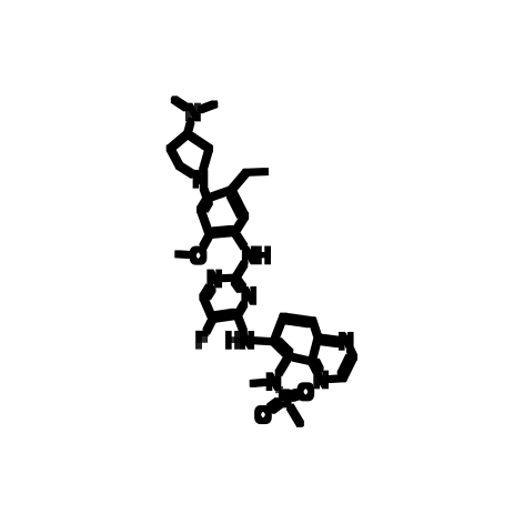 CCc1cc(Nc2ncc(F)c(Nc3ccc4nccnc4c3N(C)S(C)(=O)=O)n2)c(OC)cc1N1CCC(N(C)C)C1